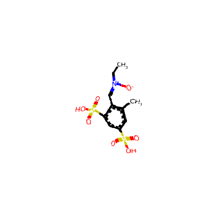 CC/[N+]([O-])=C/c1c(C)cc(S(=O)(=O)O)cc1S(=O)(=O)O